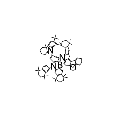 Cc1cc2c3cc1N1c4cc5c(cc4B4c6cc7c(cc6N(c6ccc8c(c6)C(C)(C)CCC8(C)C)c6cc(cc1c64)N1c4cc(c(C(C)(C)C)cc4C4(C)CCCCC14C)C3(C)CCC2(C)C)C(C)(C)CCC7(C)C)oc1ccccc15